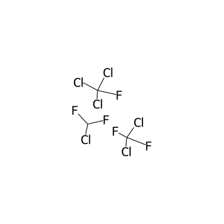 FC(Cl)(Cl)Cl.FC(F)(Cl)Cl.FC(F)Cl